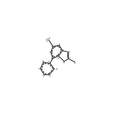 CC1=Cc2cc(Cl)cc(-c3ccccc3)c2C1